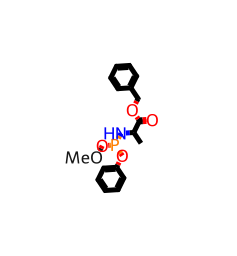 COOP(NC(C)C(=O)OCc1ccccc1)Oc1ccccc1